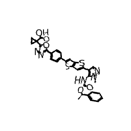 C[C@@H](OC(=O)Nc1c(-c2cc3sc(-c4ccc(-c5nnc(C6(C(=O)O)CC6)o5)cc4)cc3s2)cnn1C)c1ccccc1